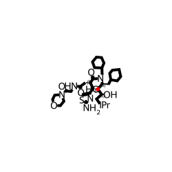 CC(C)C[C@H](O)[C@H](O)[C@H](CC1CCCCC1)N(CC1CCCCC1)C(=O)[C@@H](CC(=O)NCC(=O)N1CCOCC1)Cc1csc(N)n1